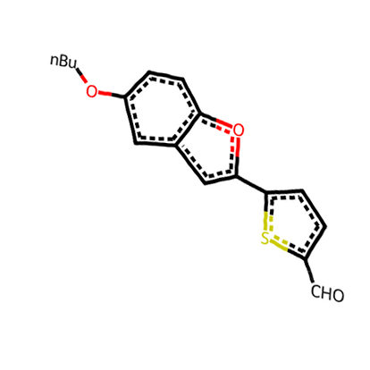 CCCCOc1ccc2oc(-c3ccc(C=O)s3)cc2c1